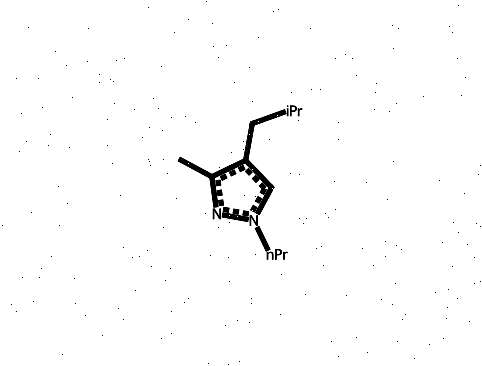 CCCn1cc(CC(C)C)c(C)n1